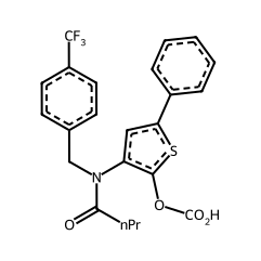 CCCC(=O)N(Cc1ccc(C(F)(F)F)cc1)c1cc(-c2ccccc2)sc1OC(=O)O